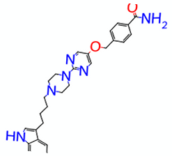 NC(=O)c1ccc(COc2cnc(N3CCN(CCCCc4c[nH]c5ccccc45)CC3)nc2)cc1